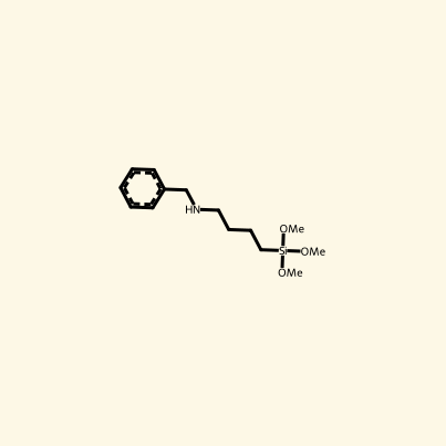 CO[Si](CCCCNCc1ccccc1)(OC)OC